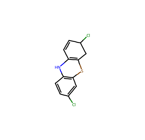 Clc1ccc2c(c1)SC1=C(C=CC(Cl)C1)N2